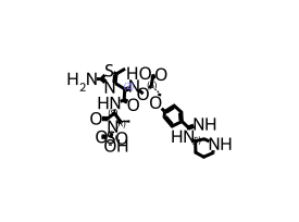 Cc1sc(N)nc1/C(=N/O[C@@H](COc1ccc(C(=N)N[C@H]2CCCNC2)cc1)C(=O)O)C(=O)N[C@@H]1C(=O)N(S(=O)(=O)O)[C@@H]1C